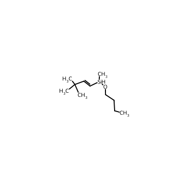 CCCCO[SiH](C)C=CC(C)(C)C